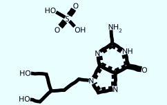 Nc1nc2c(ncn2CCC(CO)CO)c(=O)[nH]1.O=S(=O)(O)O